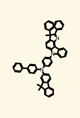 CC1(C)c2ccccc2-c2ccc(N(c3ccc(-c4ccccc4)cc3)c3ccc(-n4c5ccccc5c5c6c(ccc54)C(C)(c4ccccc4)C(c4ccccc4)=N6)cc3)cc21